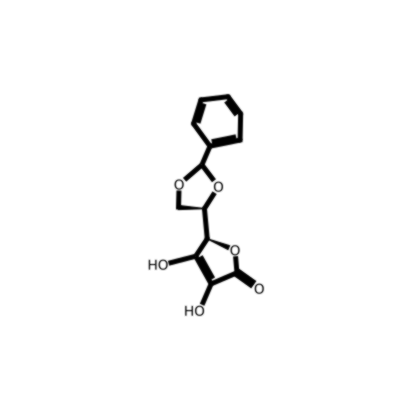 O=C1O[C@H]([C@H]2COC(c3ccccc3)O2)C(O)=C1O